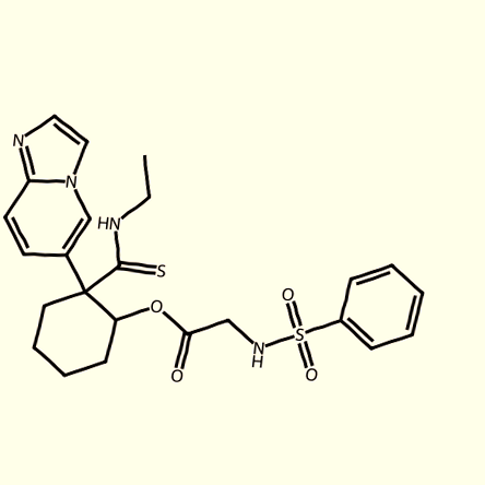 CCNC(=S)C1(c2ccc3nccn3c2)CCCCC1OC(=O)CNS(=O)(=O)c1ccccc1